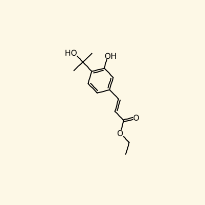 CCOC(=O)/C=C/c1ccc(C(C)(C)O)c(O)c1